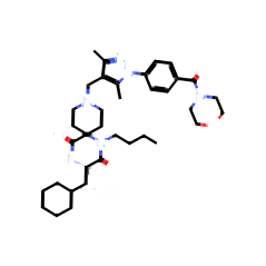 CCCCN1C(=O)[C@@H]([C@H](O)C2CCCCC2)NC(=O)C12CCN(Cc1c(C)nn(-c3ccc(C(=O)N4CCOCC4)cc3)c1C)CC2